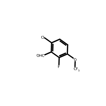 O=Cc1c(Cl)ccc(OC(F)(F)F)c1F